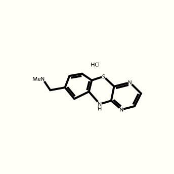 CNCc1ccc2c(c1)Nc1nccnc1S2.Cl